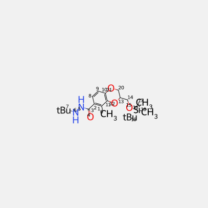 Cc1c(C(=O)NNC(C)(C)C)ccc2c1OC(CO[Si](C)(C)C(C)(C)C)CO2